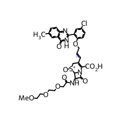 COCCOCCOCC(=O)N[C@@H]1C(=O)N2C(C(=O)O)=C(/C=C/COc3ccc(Cl)cc3-c3nc4ccc(C)cc4c(=O)[nH]3)C[S+]([O-])C12